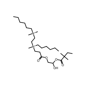 CCCCCC[N+](C)(C)CC[N+](C)(CCCCCC)CCC(=O)OCC(O)OC(=O)C(C)(C)CC